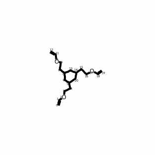 C=COCCC1CC(CCOC=C)CC(CCOC=C)C1